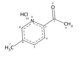 CC(=O)c1ccc(C)cn1.Cl